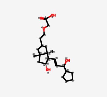 O=C(O)COCCC1C[C@H]2C[C@@H](O)[C@H](C=CC(O)C3CCCC3)[C@@H]2C1